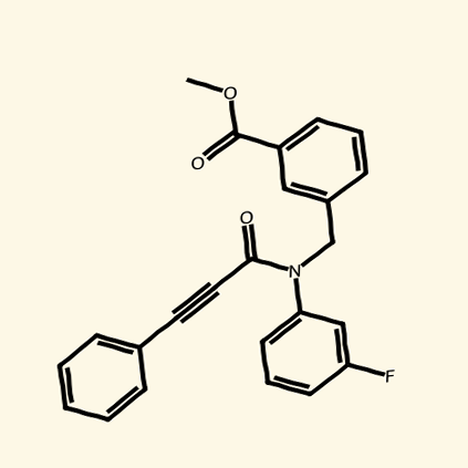 COC(=O)c1cccc(CN(C(=O)C#Cc2ccccc2)c2cccc(F)c2)c1